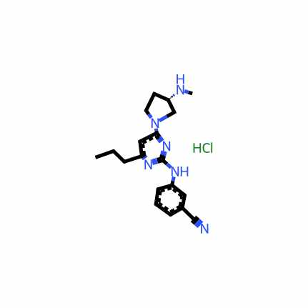 CCCc1cc(N2CC[C@H](NC)C2)nc(Nc2cccc(C#N)c2)n1.Cl